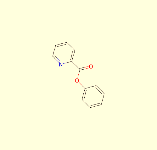 O=C(Oc1ccccc1)c1ccccn1